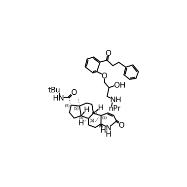 CC(C)(C)NC(=O)[C@H]1CC[C@H]2[C@@H]3CC[C@H]4NC(=O)C=C[C@]4(C)[C@H]3CC[C@]12C.CCCNCC(O)COc1ccccc1C(=O)CCc1ccccc1